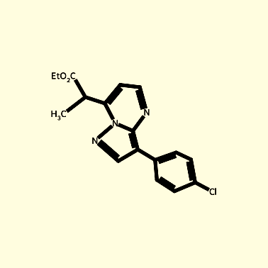 CCOC(=O)C(C)c1ccnc2c(-c3ccc(Cl)cc3)cnn12